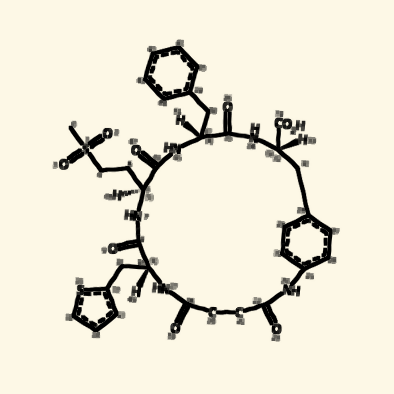 CS(=O)(=O)CC[C@@H]1NC(=O)[C@@H](Cc2cccs2)NC(=O)CCC(=O)Nc2ccc(cc2)C[C@@H](C(=O)O)NC(=O)[C@@H](Cc2ccccc2)NC1=O